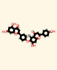 Bc1c(Oc2ccc(-c3cc(=O)c4c(O)cc(O)cc4o3)cc2)c(O)cc2oc(-c3ccc(O)cc3)cc(=O)c12